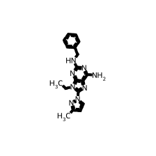 CCn1c(-n2ccc(C)n2)nc2c(N)nc(NCc3ccccc3)nc21